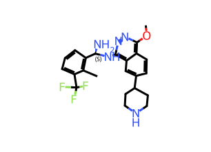 COc1nnc(N[C@H](N)c2cccc(C(F)(F)F)c2C)c2cc(C3CCNCC3)ccc12